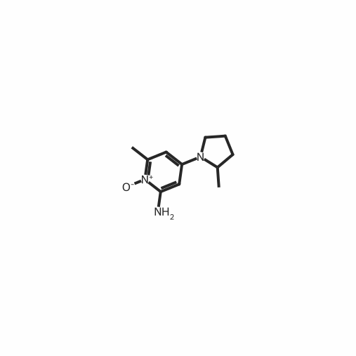 Cc1cc(N2CCCC2C)cc(N)[n+]1[O-]